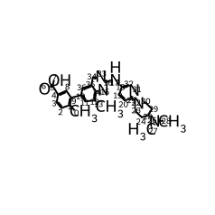 Cc1ccc(C(=O)O)cc1-c1cc(C)c2nc(Nc3ccc(N4CCC(N(C)C)CC4)nc3)ncc2c1